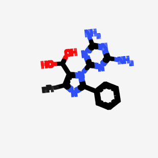 CCCc1nc(-c2ccccc2)n(-c2nc(N)nc(N)n2)c1C(O)O